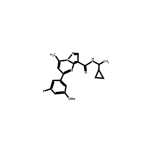 COc1cc(F)cc(-c2cc(C)n3ncc(C(=O)NC(C)C4CC4)c3n2)c1